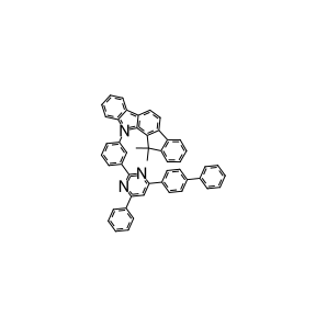 CC1(C)c2ccccc2-c2ccc3c4ccccc4n(-c4cccc(-c5nc(-c6ccccc6)cc(-c6ccc(-c7ccccc7)cc6)n5)c4)c3c21